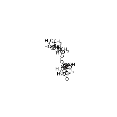 CCC(C)SC(CC(=O)O)C(=O)NCC(=O)N[C@@H](C)C(=O)Nc1cccc(Cc2ccc([C@H]3O[C@@H]4CC5[C@](C)(C[C@H](O)[C@]6(F)C7(C)C=CC(=O)C=C7[C@@H](F)C[C@@]56C)[C@]4(C(=O)COP(=O)(O)O)O3)cc2)c1